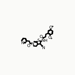 COc1ccc(OC)c(CCC(=O)NC2SC3=CN(C(=O)Cc4cccnc4)CCC3C2C#N)c1